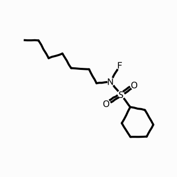 CCCCCCCN(F)S(=O)(=O)C1CCCCC1